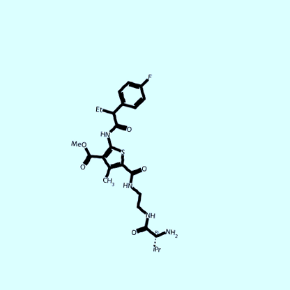 CCC(C(=O)Nc1sc(C(=O)NCCNC(=O)[C@H](N)C(C)C)c(C)c1C(=O)OC)c1ccc(F)cc1